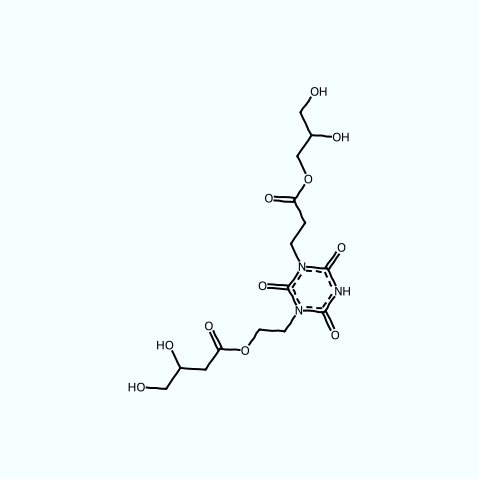 O=C(CCn1c(=O)[nH]c(=O)n(CCOC(=O)CC(O)CO)c1=O)OCC(O)CO